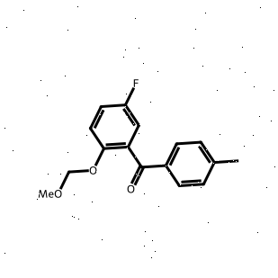 COCOc1ccc(F)cc1C(=O)c1ccc(C)cc1